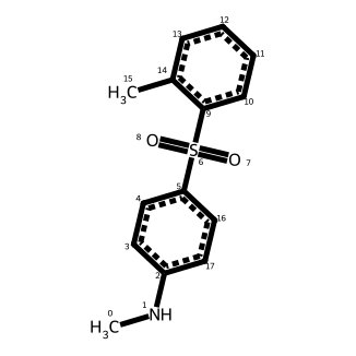 CNc1ccc(S(=O)(=O)c2ccccc2C)cc1